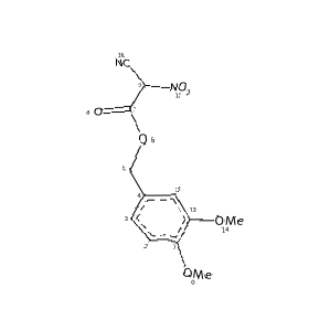 COc1ccc(COC(=O)[C](C#N)[N+](=O)[O-])cc1OC